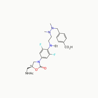 CCN(CCN(C)N(C)Cc1ccc(C(=O)O)cc1)c1c(F)cc(N2C[C@H](CNC(C)=O)OC2=O)cc1F